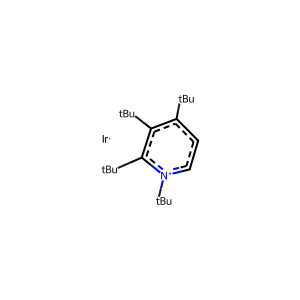 CC(C)(C)c1cc[n+](C(C)(C)C)c(C(C)(C)C)c1C(C)(C)C.[Ir]